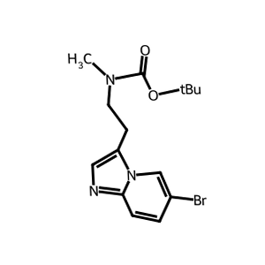 CN(CCc1cnc2ccc(Br)cn12)C(=O)OC(C)(C)C